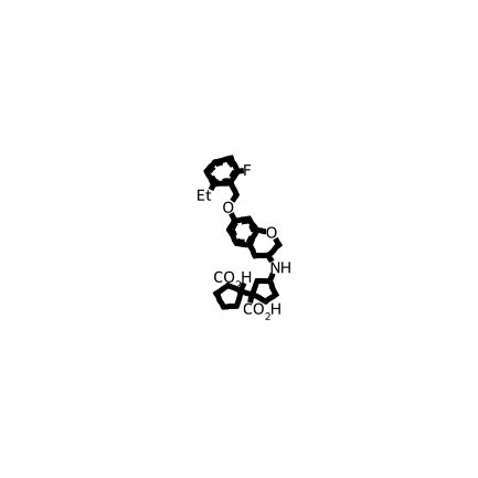 CCc1cccc(F)c1COc1ccc2c(c1)OCC(NC1CCC(C(=O)O)(C3(C(=O)O)CCCC3)C1)C2